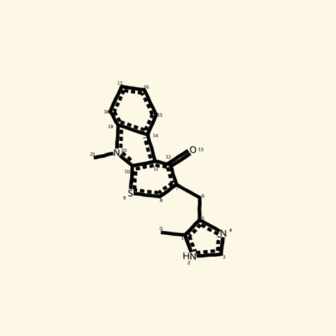 Cc1[nH]cnc1Cc1csc2c(c1=O)c1ccccc1n2C